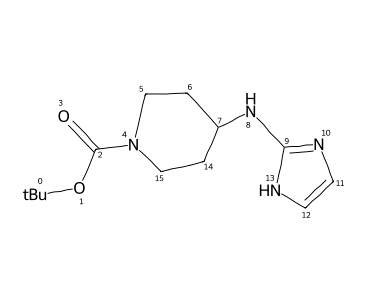 CC(C)(C)OC(=O)N1CCC(Nc2ncc[nH]2)CC1